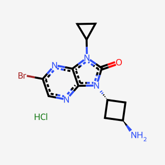 Cl.N[C@H]1C[C@H](n2c(=O)n(C3CC3)c3nc(Br)cnc32)C1